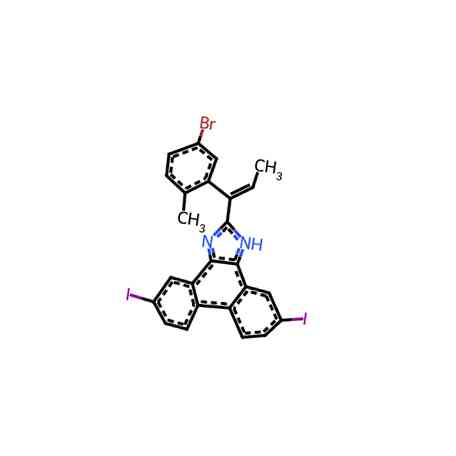 C/C=C(/c1nc2c3cc(I)ccc3c3ccc(I)cc3c2[nH]1)c1cc(Br)ccc1C